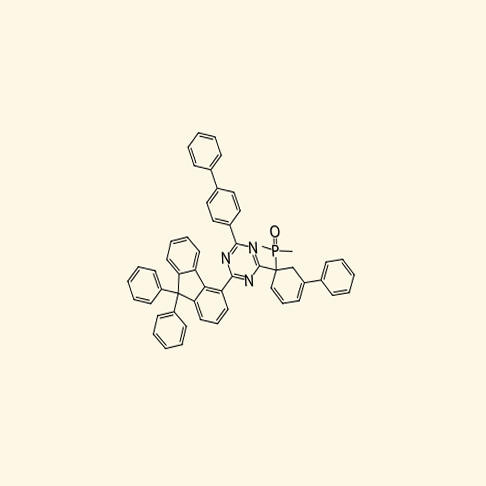 CP(C)(=O)C1(c2nc(-c3ccc(-c4ccccc4)cc3)nc(-c3cccc4c3-c3ccccc3C4(c3ccccc3)c3ccccc3)n2)C=CC=C(c2ccccc2)C1